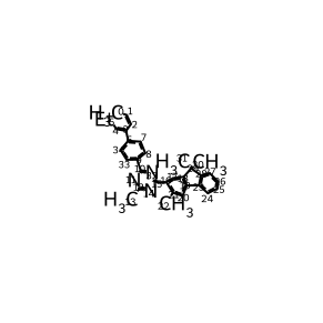 C/C=C\C(=C/CC)c1ccc(-c2nc(C)nc(-c3cc4c(cc3C)-c3ccccc3C4(C)C)n2)cc1